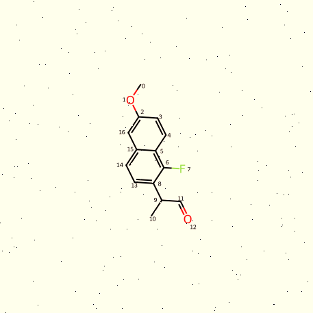 COc1ccc2c(F)c(C(C)C=O)ccc2c1